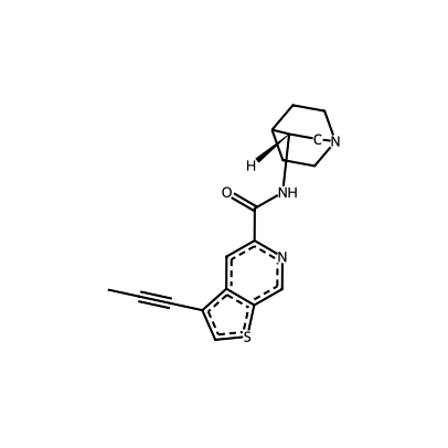 CC#Cc1csc2cnc(C(=O)N[C@H]3CN4CCC3CC4)cc12